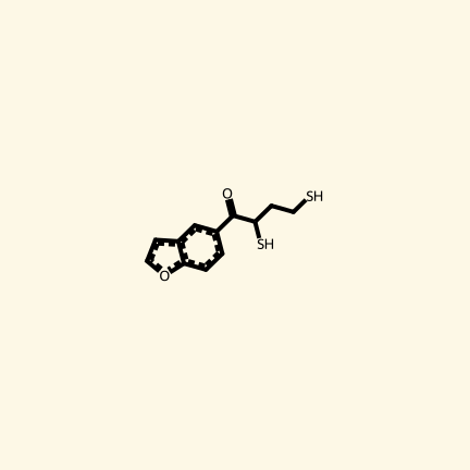 O=C(c1ccc2occc2c1)C(S)CCS